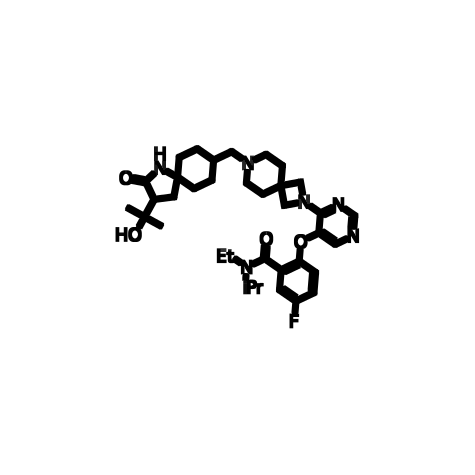 CCN(C(=O)c1cc(F)ccc1Oc1cncnc1N1CC2(CCN(CC3CCC4(CC3)CC(C(C)(C)O)C(=O)N4)CC2)C1)C(C)C